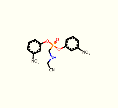 N#CCNCP(=O)(Oc1cccc([N+](=O)[O-])c1)Oc1cccc([N+](=O)[O-])c1